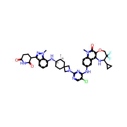 C[C@@H]1CC2(CC[C@H]1Nc1cccc3c(C4CCC(=O)NC4=O)nn(C)c13)CN(c1ncc(Cl)c(Nc3ccc4c(c3)c3c(c(=O)n4C)OCC(F)(F)C(C4CC4)N3)n1)C2